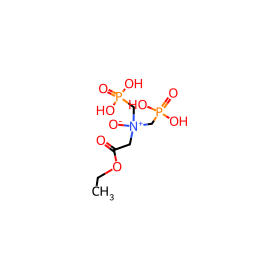 CCOC(=O)C[N+]([O-])(CP(=O)(O)O)CP(=O)(O)O